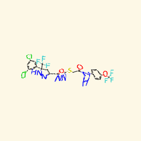 O=C(CSc1nnc(C2=NNC(c3cc(Cl)cc(Cl)c3)(C(F)(F)F)C2)o1)Nc1ccc(OC(F)(F)F)cc1